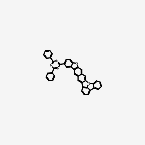 c1ccc(-c2nc(-c3ccccc3)nc(-c3ccc4sc5cc6cc7c(cc6cc5c4c3)c3cccc4c5ccccc5n7c43)n2)cc1